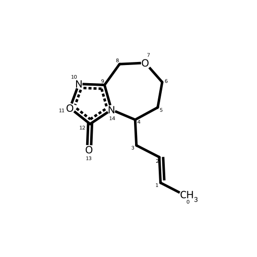 CC=CCC1CCOCc2noc(=O)n21